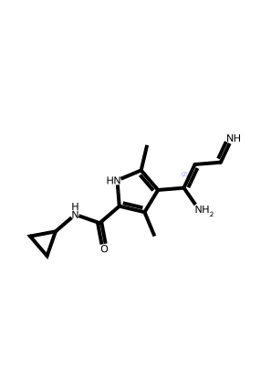 Cc1[nH]c(C(=O)NC2CC2)c(C)c1/C(N)=C/C=N